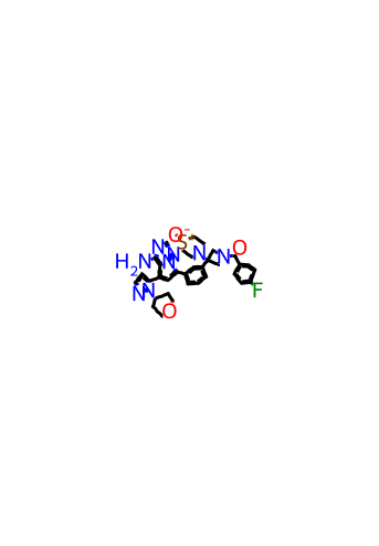 Nc1ncnn2c(-c3cccc(C4(N5CC[S+]([O-])CC5)CN(C(=O)c5ccc(F)cc5)C4)c3)cc(-c3ccnn3C3CCOCC3)c12